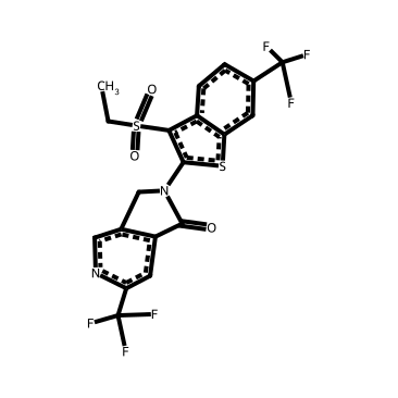 CCS(=O)(=O)c1c(N2Cc3cnc(C(F)(F)F)cc3C2=O)sc2cc(C(F)(F)F)ccc12